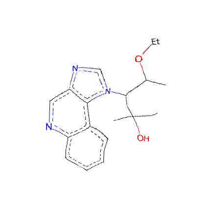 CCOC(C)C(n1cnc2cnc3ccccc3c21)C(C)(C)O